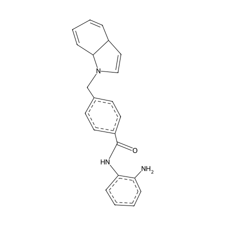 Nc1ccccc1NC(=O)c1ccc(CN2C=CC3C=CC=CC32)cc1